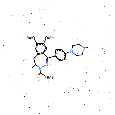 CNC(=O)N1N=C(c2ccc(N3CCN(C)CC3)cc2)c2cc(OC)c(OC)cc2CC1C